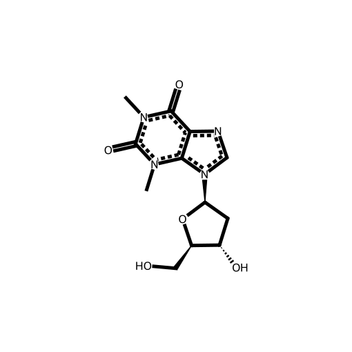 Cn1c(=O)c2ncn([C@H]3C[C@H](O)[C@@H](CO)O3)c2n(C)c1=O